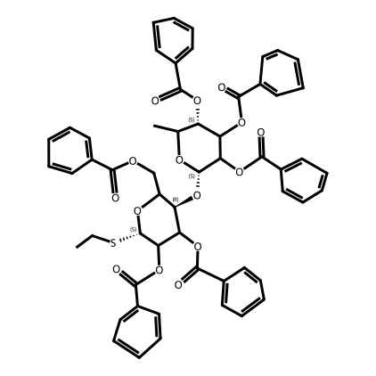 CCS[C@@H]1OC(COC(=O)c2ccccc2)[C@@H](O[C@@H]2OC(C)[C@H](OC(=O)c3ccccc3)C(OC(=O)c3ccccc3)C2OC(=O)c2ccccc2)C(OC(=O)c2ccccc2)C1OC(=O)c1ccccc1